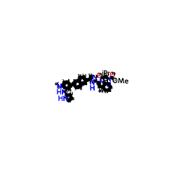 C=Nc1ccc(-c2ccc3cc(-c4cnc([C@@H]5C[C@@H]6CCCC[C@@H]6N5C(=O)[C@@H](NC(=O)OC)C(C)C)[nH]4)ccc3c2)cc1NC1CCCN1